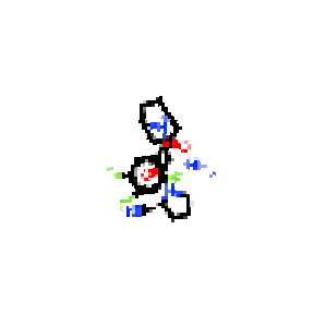 N#C[C@@H]1CCCN1C(=O)[C@@H](N)C1CC2CCC(C1)N2C(=O)c1cc(F)c(F)cc1F